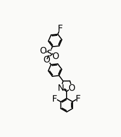 O=S(=O)(Oc1ccc(C2COC(c3c(F)cccc3F)=N2)cc1)c1ccc(F)cc1